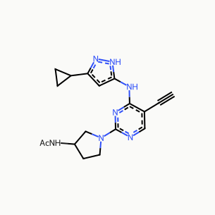 C#Cc1cnc(N2CCC(NC(C)=O)C2)nc1Nc1cc(C2CC2)n[nH]1